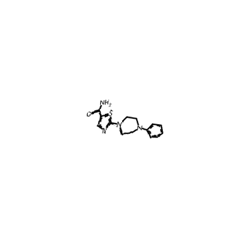 NC(=O)c1cnc(N2CCN(c3ccccc3)CC2)s1